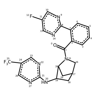 O=C(c1ccccc1-c1ncc(F)cn1)N1CC2CC(Nc3ncc(C(F)(F)F)cn3)C1C2